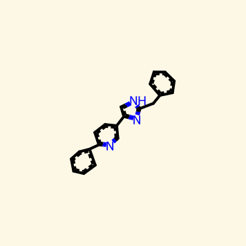 c1ccc(Cc2nc(-c3ccc(-c4ccccc4)nc3)c[nH]2)cc1